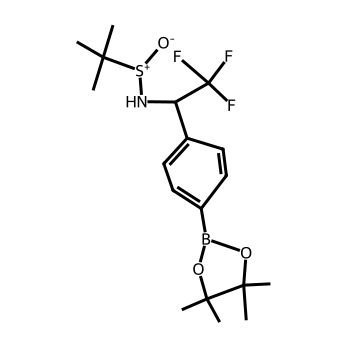 CC(C)(C)[S+]([O-])NC(c1ccc(B2OC(C)(C)C(C)(C)O2)cc1)C(F)(F)F